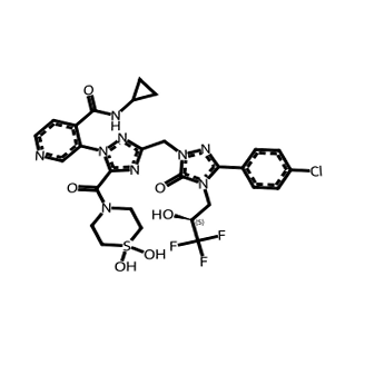 O=C(NC1CC1)c1ccncc1-n1nc(Cn2nc(-c3ccc(Cl)cc3)n(C[C@H](O)C(F)(F)F)c2=O)nc1C(=O)N1CCS(O)(O)CC1